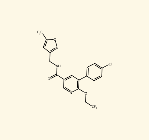 O=C(NCc1cc(C(F)(F)F)on1)c1cnc(OCC(F)(F)F)c(-c2ccc(Cl)cc2)c1